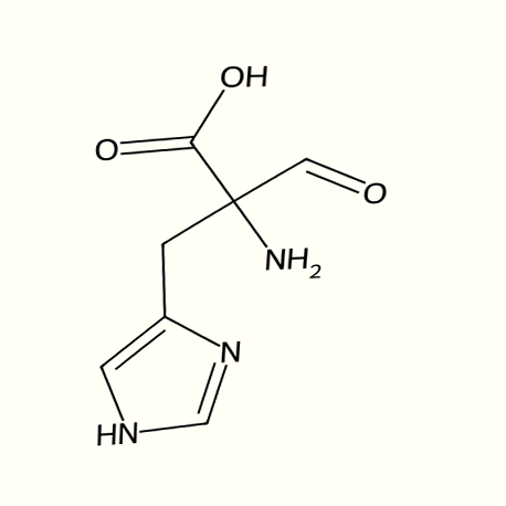 NC(C=O)(Cc1c[nH]cn1)C(=O)O